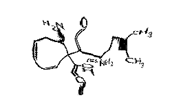 CC(C)C[C@H](N)C(=O)C1(C(=O)O)C=CC=CC1N